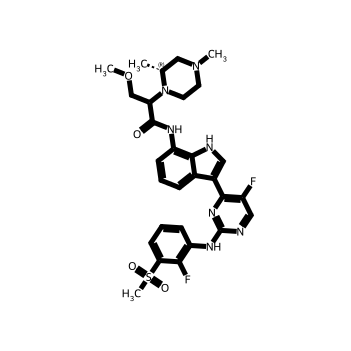 COCC(C(=O)Nc1cccc2c(-c3nc(Nc4cccc(S(C)(=O)=O)c4F)ncc3F)c[nH]c12)N1CCN(C)C[C@H]1C